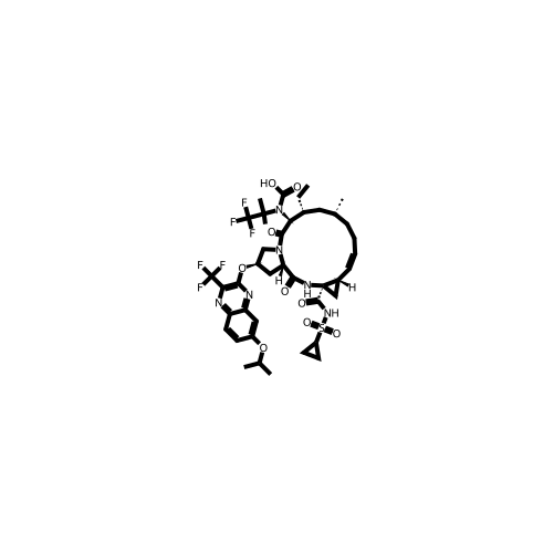 CC[C@@H]1C[C@H](C)CC/C=C\[C@@H]2C[C@@]2(C(=O)NS(=O)(=O)C2CC2)NC(=O)[C@@H]2C[C@@H](Oc3nc4cc(OC(C)C)ccc4nc3C(F)(F)F)CN2C(=O)[C@H]1N(C(=O)O)C(C)(C)C(F)(F)F